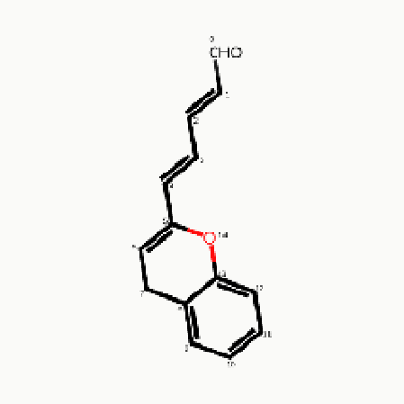 O=CC=CC=CC1=CCc2ccccc2O1